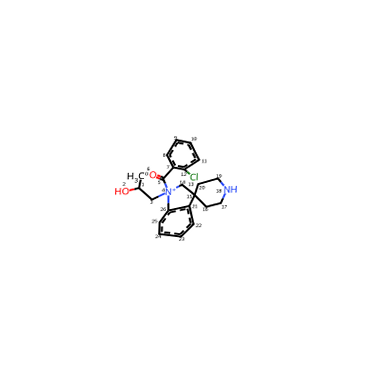 CC(O)C[N+]1(C(=O)c2ccccc2Cl)CC2(CCNCC2)c2ccccc21